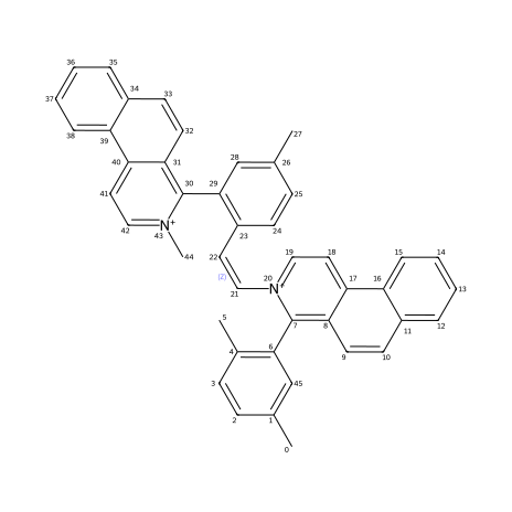 Cc1ccc(C)c(-c2c3ccc4ccccc4c3cc[n+]2/C=C\c2ccc(C)cc2-c2c3ccc4ccccc4c3cc[n+]2C)c1